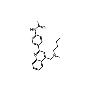 CCCCN(C)Cc1cc(-c2ccc(NC(C)=O)cc2)nc2ccccc12